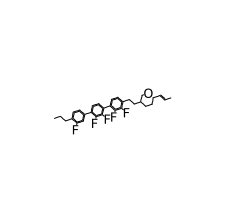 C/C=C/C1CCC(CCc2ccc(-c3ccc(-c4ccc(CCC)c(F)c4)c(F)c3F)c(F)c2F)CO1